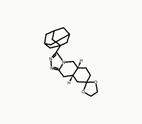 C1COC2(CC[C@H]3Cn4c(nnc4C45CC6CC(CC(C6)C4)C5)C[C@H]3C2)O1